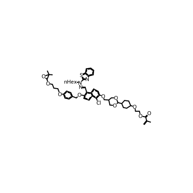 C=C(C)C(=O)OCCOC1CCC(C2OCC(COc3ccc4c(/C=N/N(CCCCCC)c5nc6ccccc6s5)c(OCc5ccc(OCCCOC6OC6(C)C)cc5)ccc4c3Cl)CO2)CC1